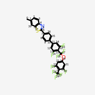 Cc1ccc2nc(-c3ccc(-c4cc(F)c(C(F)(F)Oc5cc(F)c(C(F)(F)F)c(F)c5)c(F)c4)cc3)sc2c1